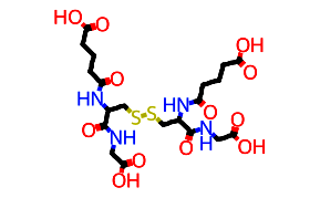 O=C(O)CCCC(=O)NC(CSSCC(NC(=O)CCCC(=O)O)C(=O)NCC(=O)O)C(=O)NCC(=O)O